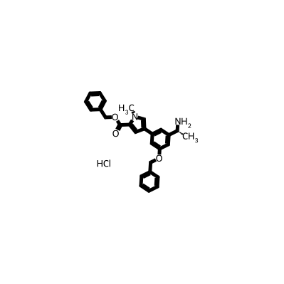 C[C@@H](N)c1cc(OCc2ccccc2)cc(-c2cc(C(=O)OCc3ccccc3)n(C)c2)c1.Cl